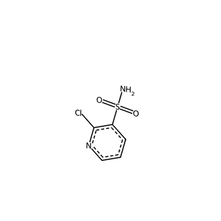 NS(=O)(=O)c1cccnc1Cl